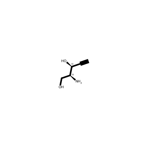 C#C[C@H](O)[C@@H](N)CO